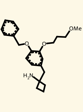 COCCCOc1cc(CC2(N)CCC2)ccc1OCc1ccccc1